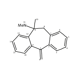 C=C1c2ccccc2CC(C)(NC)c2ccccc21